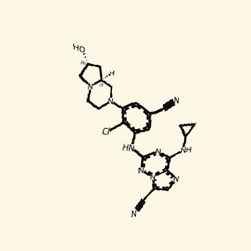 N#Cc1cc(Nc2nc(NC3CC3)c3ncc(C#N)n3n2)c(Cl)c(N2CCN3C[C@H](O)C[C@H]3C2)c1